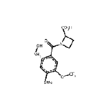 CSc1ccc(C(=O)N2CCC2C(=O)O)cc1OC(F)(F)F.NO